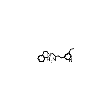 CCc1cncc(CC[C@@H](N)CN2CCc3ccccc3C2)c1